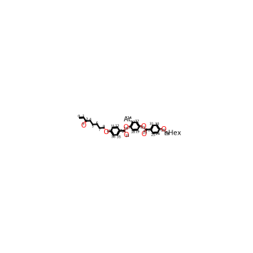 C=CC(=O)CCCCCOc1ccc(C(=O)Oc2ccc(OC(=O)c3ccc(OCCCCCC)cc3)cc2C(C)=O)cc1